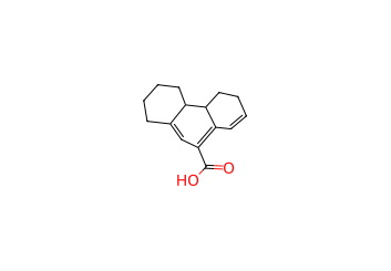 O=C(O)C1=C2C=CCCC2C2CCCCC2=C1